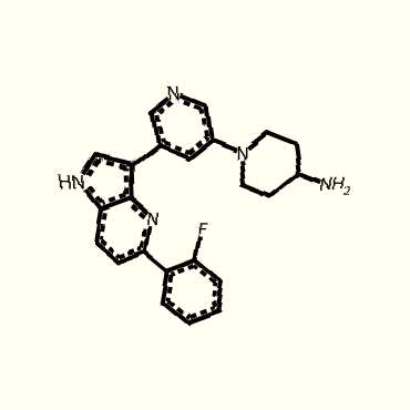 NC1CCN(c2cncc(-c3c[nH]c4ccc(-c5ccccc5F)nc34)c2)CC1